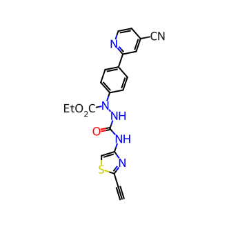 C#Cc1nc(NC(=O)NN(C(=O)OCC)c2ccc(-c3cc(C#N)ccn3)cc2)cs1